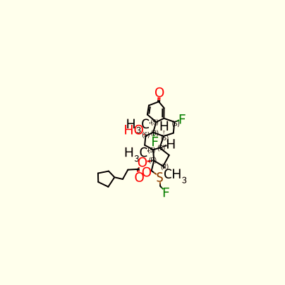 C[C@@H]1C[C@H]2[C@@H]3C[C@H](F)C4=CC(=O)C=C[C@]4(C)[C@@]3(F)[C@@H](O)C[C@]2(C)[C@@]1(OC(=O)CCC1CCCC1)C(=O)SCF